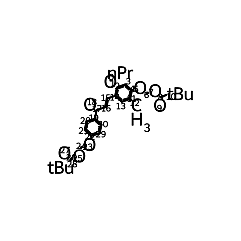 CCCOc1cc(OCOC(=O)C(C)(C)C)c(C)cc1C=CC(=O)c1ccc(OCOC(=O)C(C)(C)C)cc1